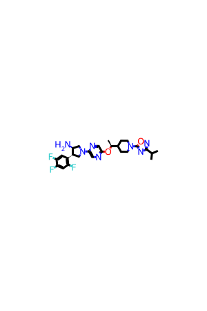 CC(C)c1noc(N2CCC([C@H](C)Oc3cnc(N4C[C@H](c5cc(F)c(F)cc5F)[C@@H](N)C4)cn3)CC2)n1